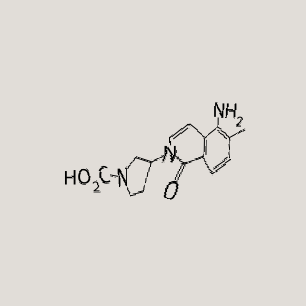 Cc1ccc2c(=O)n(C3CCN(C(=O)O)C3)ccc2c1N